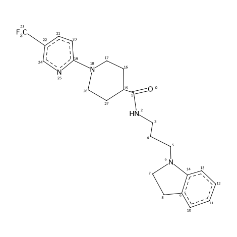 O=C(NCCCN1CCc2ccccc21)C1CCN(c2ccc(C(F)(F)F)cn2)CC1